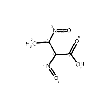 CC(N=O)C(N=O)C(=O)O